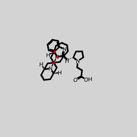 O=C(O)CCN1CCC[C@H]1Cc1nc2ccccc2n1[C@@H]1C[C@H]2CCC[C@@H](C1)N2[C@H]1C[C@@H]2CCCC[C@@H](C2)C1